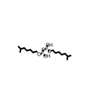 CC(C)CCCCCOP(O)OP(O)OCCCCCC(C)C